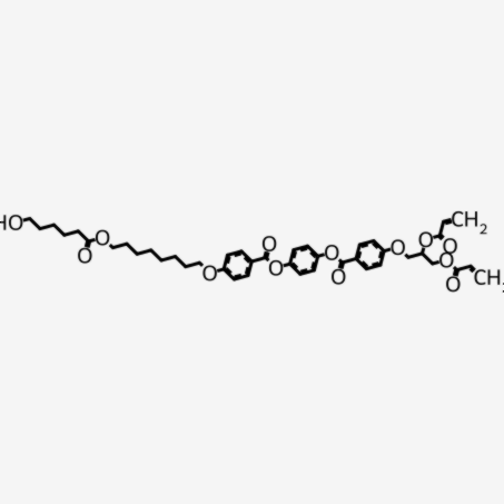 C=CC(=O)OCC(COc1ccc(C(=O)Oc2ccc(OC(=O)c3ccc(OCCCCCCCCOC(=O)CCCCCO)cc3)cc2)cc1)OC(=O)C=C